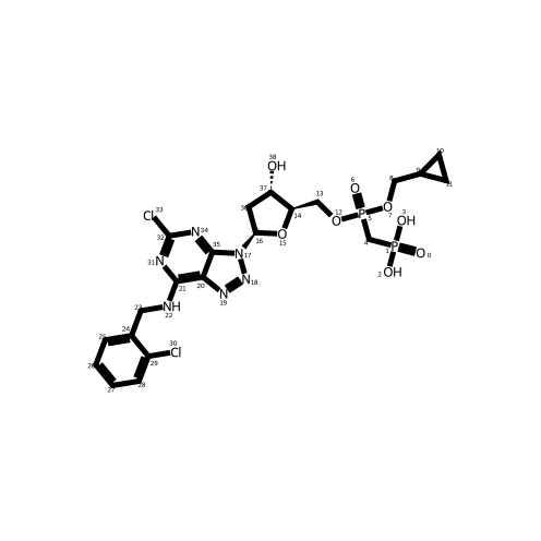 O=P(O)(O)CP(=O)(OCC1CC1)OC[C@H]1O[C@@H](n2nnc3c(NCc4ccccc4Cl)nc(Cl)nc32)C[C@@H]1O